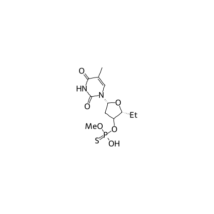 CC[C@H]1O[C@@H](n2cc(C)c(=O)[nH]c2=O)CC1OP(O)(=S)OC